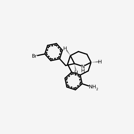 Nc1cccc2c1C[C@@H]1CC[C@H](C2)[C@H](Cc2cccc(Br)c2)N1